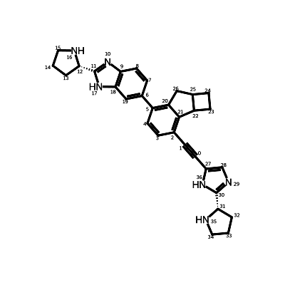 C(#Cc1ccc(-c2ccc3nc([C@@H]4CCCN4)[nH]c3c2)c2c1C1CCC1C2)c1cnc([C@@H]2CCCN2)[nH]1